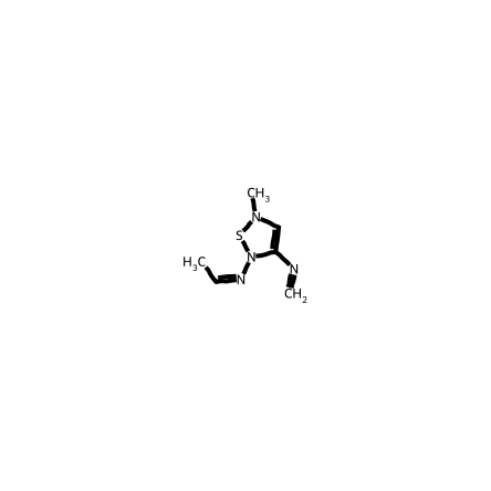 C=NC1=CN(C)SN1/N=C\C